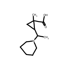 CC(C1CC1(C)C(=O)O)N1CCCCC1